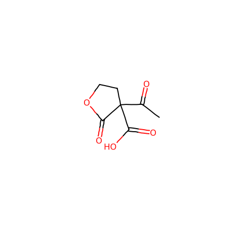 CC(=O)C1(C(=O)O)CCOC1=O